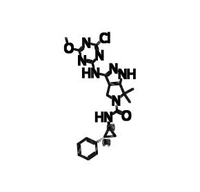 COc1nc(Cl)nc(Nc2n[nH]c3c2CN(C(=O)N[C@H]2C[C@@H]2c2ccccc2)C3(C)C)n1